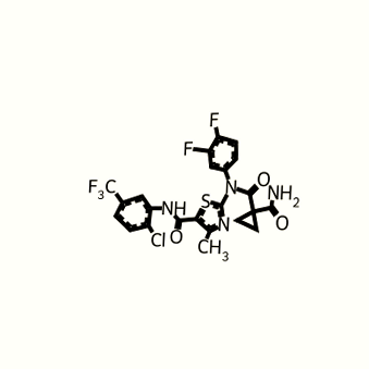 Cc1nc(N(C(=O)C2(C(N)=O)CC2)c2ccc(F)c(F)c2)sc1C(=O)Nc1cc(C(F)(F)F)ccc1Cl